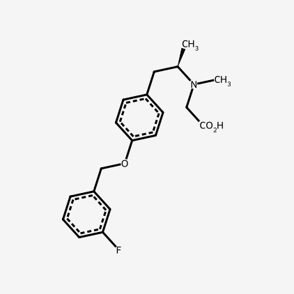 C[C@H](Cc1ccc(OCc2cccc(F)c2)cc1)N(C)CC(=O)O